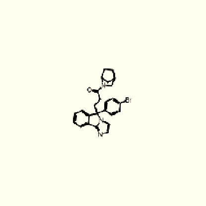 O=C(CCC1(c2ccc(Br)cc2)c2ccccc2-c2nccn21)N1CC2CCC1C2